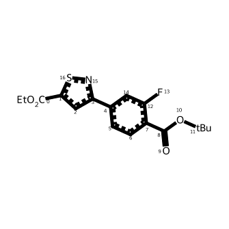 CCOC(=O)c1cc(-c2ccc(C(=O)OC(C)(C)C)c(F)c2)ns1